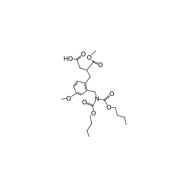 CCCCOC(=O)N(Cc1cc(OC)ccc1CC(CC(=O)O)C(=O)OC)C(=O)OCCCC